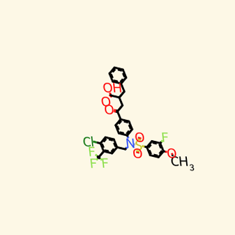 COc1ccc(S(=O)(=O)N(Cc2ccc(Cl)c(C(F)(F)F)c2)c2ccc(C(=O)CC(Cc3ccccc3)C(=O)O)cc2)cc1F